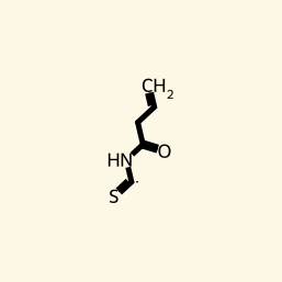 C=CCC(=O)N[C]=S